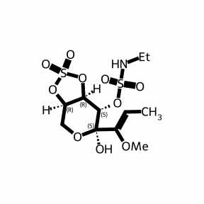 CC=C(OC)[C@@]1(O)OC[C@H]2OS(=O)(=O)O[C@H]2[C@@H]1OS(=O)(=O)NCC